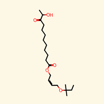 CCC(C)(C)OC/C=C\COC(=O)CCCCCCCCC(=O)C(C)O